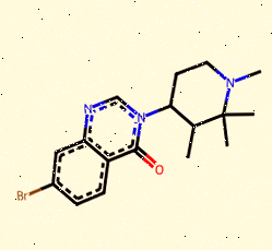 CC1C(n2cnc3cc(Br)ccc3c2=O)CCN(C)C1(C)C